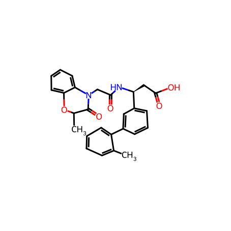 Cc1ccccc1-c1cccc([C@H](CC(=O)O)NC(=O)CN2C(=O)C(C)Oc3ccccc32)c1